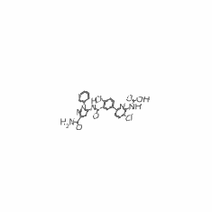 NC(=O)c1cc(NC(=O)c2cc(-c3ccc(Cl)c(NC(=O)O)n3)ccc2Cl)n(-c2ccccc2)n1